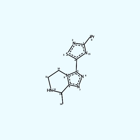 CC(C)c1nsc(-c2nnc3n2CCNC3C)n1